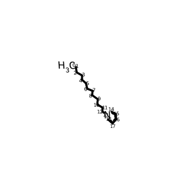 CCCCCCCCCCCCC[n+]1ccccc1